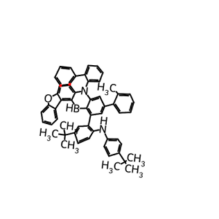 Cc1ccccc1-c1cc(-c2cc(C(C)(C)C)ccc2Nc2ccc(C(C)(C)C)cc2)c2c(c1)N(c1ccccc1-c1ccccc1)c1ccc3oc4ccccc4c3c1B2